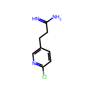 N=C(N)CCc1ccc(Cl)nc1